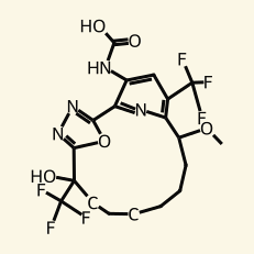 COC1CCCCCCC(O)(C(F)(F)F)c2nnc(o2)-c2nc1c(C(F)(F)F)cc2NC(=O)O